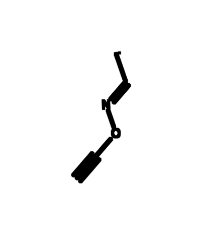 C#CON=C[CH2]